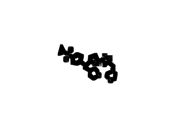 O=S(=O)(c1ccc(C(CC2CCOCC2)c2ccc(-c3nnc(CN4CCOCC4)s3)[nH]2)cc1)C1CC1